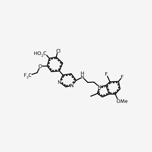 COc1cc(F)c(F)c2c1cc(C)n2CCNc1cc(-c2cc(Cl)c(C(=O)O)c(OCC(F)(F)F)c2)ncn1